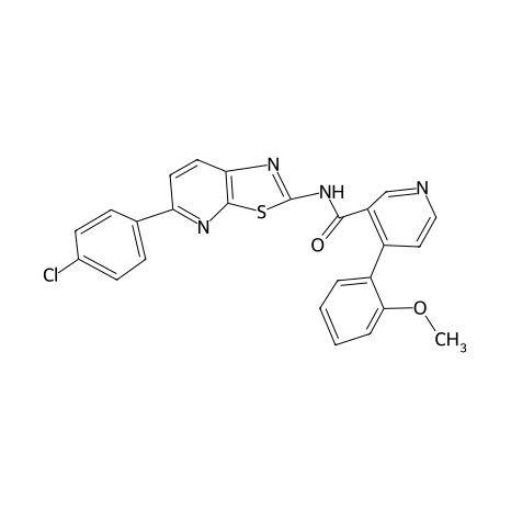 COc1ccccc1-c1ccncc1C(=O)Nc1nc2ccc(-c3ccc(Cl)cc3)nc2s1